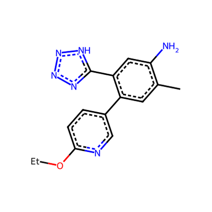 CCOc1ccc(-c2cc(C)c(N)cc2-c2nnn[nH]2)cn1